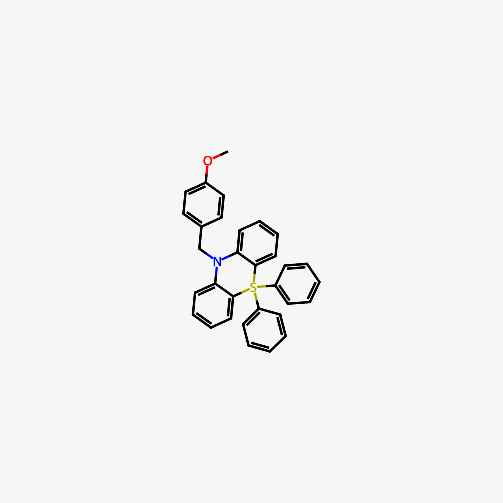 COc1ccc(CN2c3ccccc3S(c3ccccc3)(c3ccccc3)c3ccccc32)cc1